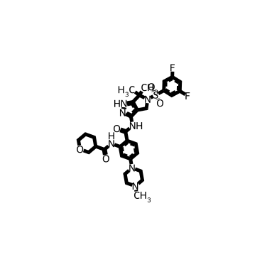 CN1CCN(c2ccc(C(=O)Nc3n[nH]c4c3CN(S(=O)(=O)c3cc(F)cc(F)c3)C4(C)C)c(NC(=O)C3CCCOC3)c2)CC1